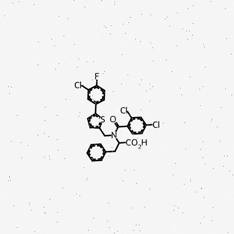 O=C(O)C(Cc1ccccc1)N(Cc1ccc(-c2ccc(F)c(Cl)c2)s1)C(=O)c1ccc(Cl)cc1Cl